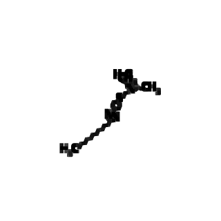 CCCCCCCCCCCCc1cnc(-c2ccc(SCCC[N+](CCCC)(CCCC)CCCC)cc2)nc1